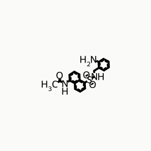 CC(=O)Nc1cccc2c(S(=O)(=O)NCc3ccccc3N)cccc12